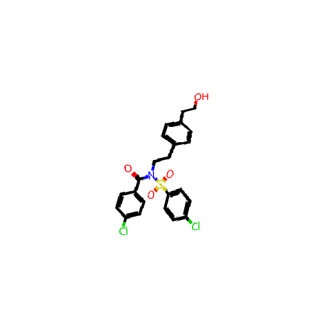 O=C(c1ccc(Cl)cc1)N(CCc1ccc(CCO)cc1)S(=O)(=O)c1ccc(Cl)cc1